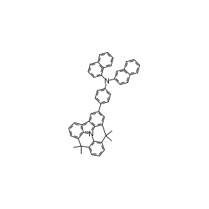 CC1(C)c2cccc3c2-n2c4c1cccc4c1cc(-c4ccc(N(c5ccc6ccccc6c5)c5cccc6ccccc56)cc4)cc(c12)C3(C)C